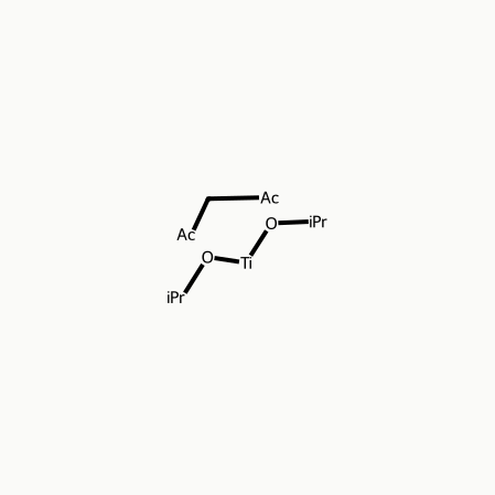 CC(=O)CC(C)=O.CC(C)[O][Ti][O]C(C)C